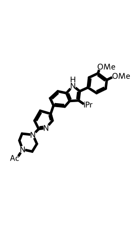 COc1ccc(-c2[nH]c3ccc(-c4ccc(N5CCN(C(C)=O)CC5)nc4)cc3c2C(C)C)cc1OC